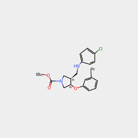 CC(C)c1cccc(O[C@H]2CN(C(=O)OC(C)(C)C)C[C@H]2CNc2ccc(Cl)cc2)c1